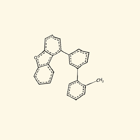 Cc1ccccc1-c1cccc(-c2cccc3oc4ccccc4c23)c1